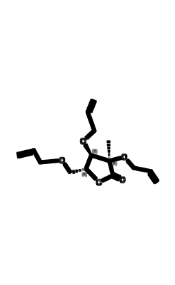 C=CCOC[C@H]1OC(=O)[C@](C)(OCC=C)[C@@H]1OCC=C